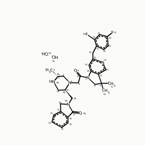 C[C@@H]1CN(CC(=O)N2CC(C)(C)c3cnc(Cc4ccc(F)cc4F)cc32)[C@@H](CN2Cc3ccccc3C2=O)CN1.Cl.Cl